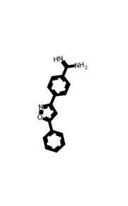 N=C(N)c1ccc(-c2cc(-c3ccccc3)on2)cc1